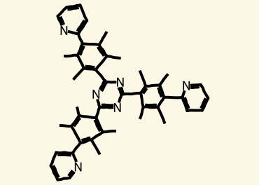 Cc1c(C)c(-c2nc(-c3c(C)c(C)c(-c4ccccn4)c(C)c3C)nc(-c3c(C)c(C)c(-c4ccccn4)c(C)c3C)n2)c(C)c(C)c1-c1ccccn1